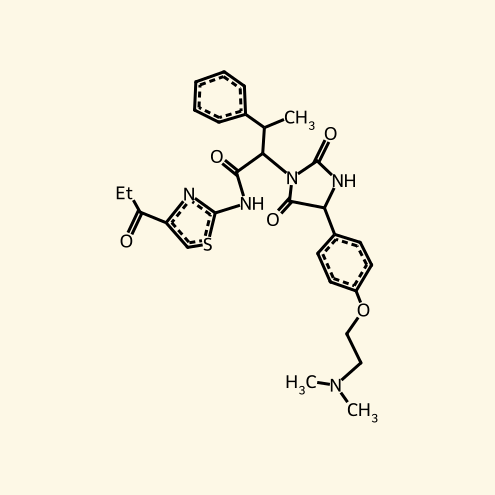 CCC(=O)c1csc(NC(=O)C(C(C)c2ccccc2)N2C(=O)NC(c3ccc(OCCN(C)C)cc3)C2=O)n1